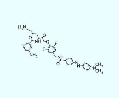 CN(C)c1ccc(/N=N/c2ccc(C(=O)NCc3cc(F)c(OCC(=O)C(CCCCN)NC(=O)c4cccc(N)c4)c(F)c3)cc2)cc1